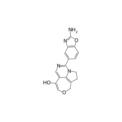 Nc1nc2cc(C3=NC=C4C(O)=COCC5=C4N3CC5)ccc2o1